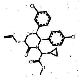 C=CC[C@@H]1O[C@@H](c2cccc(Cl)c2)[C@@H](c2ccc(Cl)cc2)N([C@H](C(=O)OC)C2CC2)C1=O